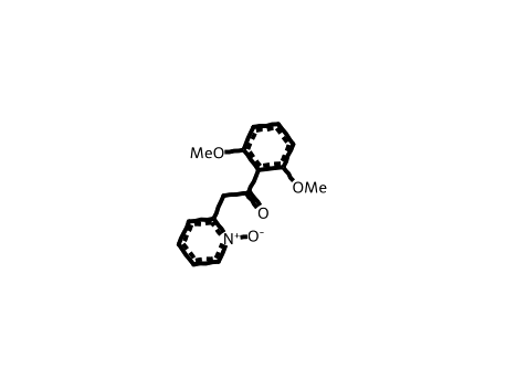 COc1cccc(OC)c1C(=O)Cc1cccc[n+]1[O-]